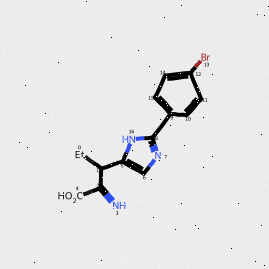 CCC(C(=N)C(=O)O)c1cnc(-c2ccc(Br)cc2)[nH]1